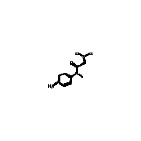 CCN(CC)CC(=O)N(C)c1ccc(N)cc1